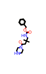 CC(C)(CNC(=O)OCc1ccccc1)CC(=O)N1CCNCC1